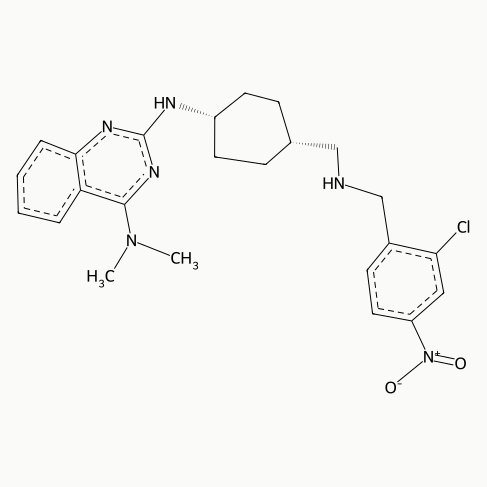 CN(C)c1nc(N[C@H]2CC[C@@H](CNCc3ccc([N+](=O)[O-])cc3Cl)CC2)nc2ccccc12